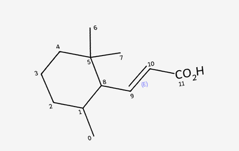 CC1CCCC(C)(C)C1/C=C/C(=O)O